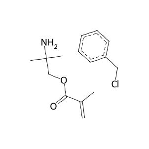 C=C(C)C(=O)OCC(C)(C)N.ClCc1ccccc1